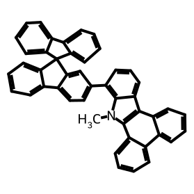 Cn1c2c(-c3ccc4c(c3)C3(c5ccccc5-c5ccccc53)c3ccccc3-4)cccc2c2c3ccccc3c3ccccc3c21